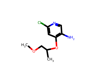 COCC(C)Oc1cc(Cl)ncc1N